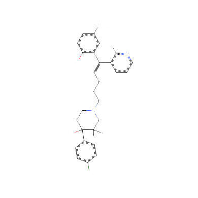 Cc1ncccc1/C(=C\CCCN1CCC(O)(c2ccc(Cl)cc2)C(C)(C)C1)c1cc(C(=O)O)ccc1O